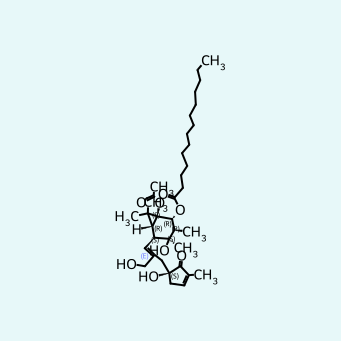 CCCCCCCCCCCCCC(=O)O[C@@H]1[C@@H](C)[C@@](C)(O)[C@@H](/C=C(/CO)C[C@@]2(O)CC=C(C)C2=O)[C@@H]2C(C)(C)[C@]12OC(C)=O